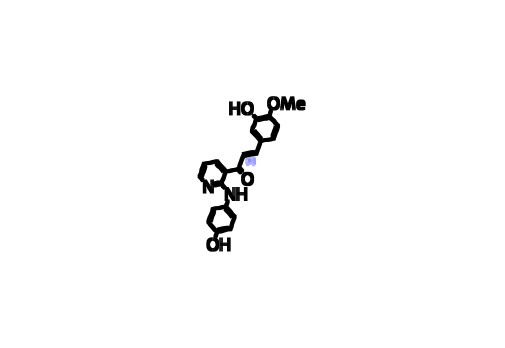 COc1ccc(/C=C/C(=O)c2cccnc2Nc2ccc(O)cc2)cc1O